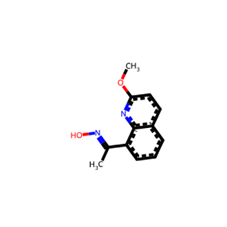 COc1ccc2cccc(C(C)=NO)c2n1